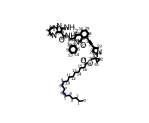 CCCCC/C=C\C/C=C\CCCCCCCC(=O)OCC1(n2cc(C#Cc3cccc4cc([C@H](C)NC(=O)c5c(N)nn6cccnc56)n(-c5ccccc5)c(=O)c34)cn2)CC1